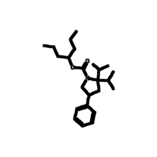 CCCC(CCC)OC(=O)N1CC(c2ccccc2)CC1(C(C)C)C(C)C